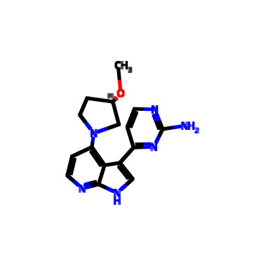 CO[C@@H]1CCN(c2ccnc3[nH]cc(-c4ccnc(N)n4)c23)C1